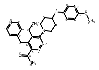 CCc1c(N2CCC(Oc3ccc(OC)nc3)CC2)nnc(C(N)=O)c1Cc1ccncc1